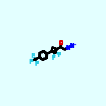 [N-]=[N+]=CC(=O)C12CC(c3ccc(C(F)(F)F)cc3)(C1)C2(F)F